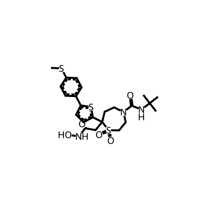 CSc1ccc(-c2ccc(C3(CC(=O)NO)CCN(C(=O)NC(C)(C)C)CCS3(=O)=O)s2)cc1